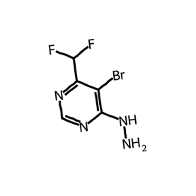 NNc1ncnc(C(F)F)c1Br